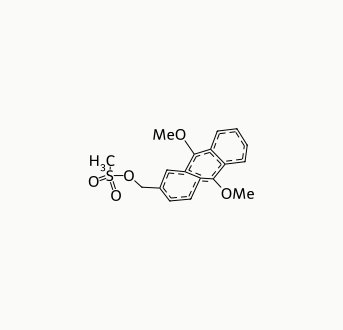 COc1c2ccccc2c(OC)c2cc(COS(C)(=O)=O)ccc12